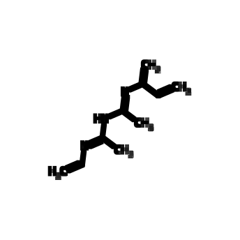 C=C/N=C(\C)N/C(C)=N/C(=C)C=C